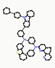 c1ccc(-c2ccc(-n3c4ccccc4c4ccc(-c5cccc(N(c6cccc(N(c7ccccc7)c7ccc8ccc9cccnc9c8n7)c6)c6ccc7sc8ccccc8c7c6)c5)cc43)cc2)cc1